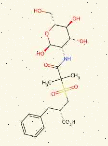 CC(C)(C(=O)N[C@H]1[C@@H](O)[C@H](O)[C@@H](CO)O[C@@H]1O)S(=O)(=O)C[C@@H](Cc1ccccc1)C(=O)O